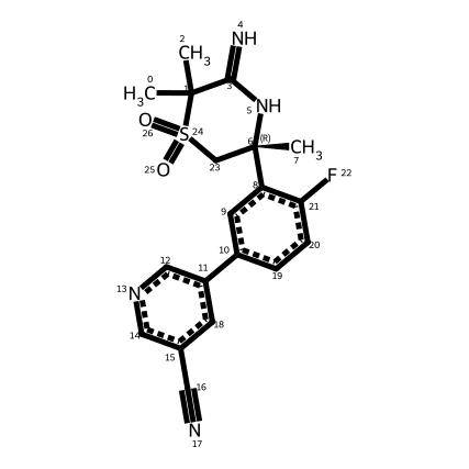 CC1(C)C(=N)N[C@](C)(c2cc(-c3cncc(C#N)c3)ccc2F)CS1(=O)=O